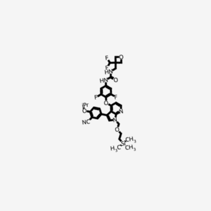 CC(C)Oc1ccc(-c2cn(COCC[Si](C)(C)C)c3nccc(Oc4c(F)cc(NC(=O)NCC5(C(F)F)COC5)cc4F)c23)cc1C#N